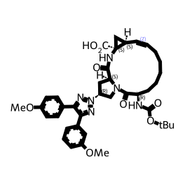 COc1ccc(-c2nn([C@@H]3C[C@H]4C(=O)N[C@@]5(C(=O)O)C[C@H]5/C=C\CCCCC[C@@H](NC(=O)OC(C)(C)C)C(=O)N4C3)nc2-c2cccc(OC)c2)cc1